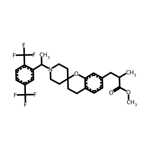 COC(=O)C(C)Cc1ccc2c(c1)OC1(CC2)CCN(C(C)c2cc(C(F)(F)F)ccc2C(F)(F)F)CC1